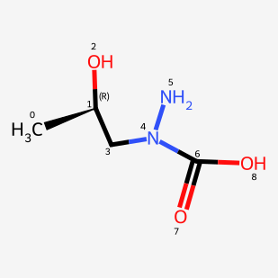 C[C@@H](O)CN(N)C(=O)O